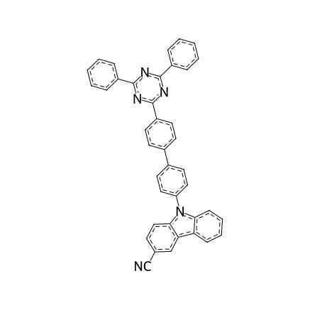 N#Cc1ccc2c(c1)c1ccccc1n2-c1ccc(-c2ccc(-c3nc(-c4ccccc4)nc(-c4ccccc4)n3)cc2)cc1